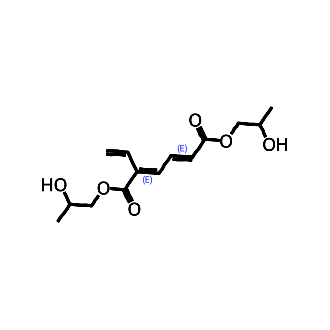 C=C/C(=C\C=C\C(=O)OCC(C)O)C(=O)OCC(C)O